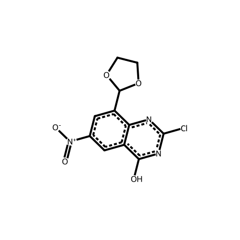 O=[N+]([O-])c1cc(C2OCCO2)c2nc(Cl)nc(O)c2c1